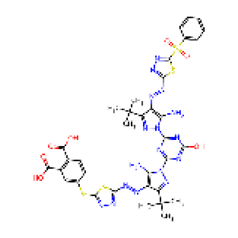 CC(C)(C)c1nn(-c2nc(O)nc(-n3nc(C(C)(C)C)c(N=Nc4nnc(S(=O)(=O)c5ccccc5)s4)c3N)n2)c(N)c1N=Nc1nnc(Sc2ccc(C(=O)O)c(C(=O)O)c2)s1